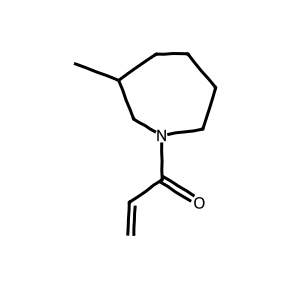 C=CC(=O)N1CCCCC(C)C1